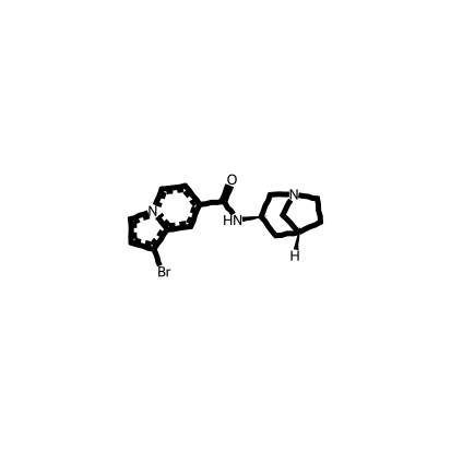 O=C(N[C@@H]1C[C@H]2CCN(C2)C1)c1ccn2ccc(Br)c2c1